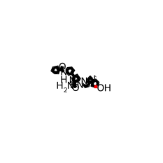 CN1Cc2nc(Nc3ccc(C4=CCCC(NC(=O)c5ccccc5)C4)nc3C(N)=O)ccc2C12CCC(O)CC2